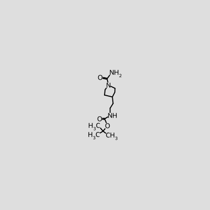 CC(C)(C)OC(=O)NCCC1CCN(C(N)=O)CC1